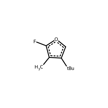 Cc1c(C(C)(C)C)coc1F